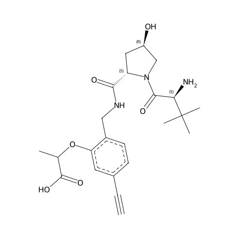 C#Cc1ccc(CNC(=O)[C@@H]2C[C@@H](O)CN2C(=O)[C@@H](N)C(C)(C)C)c(OC(C)C(=O)O)c1